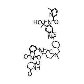 Cc1cccc(C(=O)Nc2cc3sc([C@H]4CC[C@H](CN(C)[C@H]5CC[C@H](SNc6cccc7c6C(=O)N(C6CCC(=O)NC6=O)C7=O)CC5)CC4)nc3cc2C(C)(C)O)n1